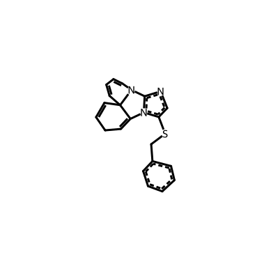 C1=CN2c3ncc(SCc4ccccc4)n3C3=CCC=CC32C=C1